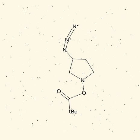 CC(C)(C)C(=O)ON1CCC(N=[N+]=[N-])C1